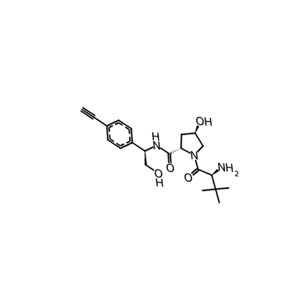 C#Cc1ccc([C@H](CO)NC(=O)[C@@H]2C[C@@H](O)CN2C(=O)[C@@H](N)C(C)(C)C)cc1